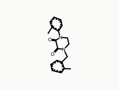 Cc1ccccc1CN1CCN(c2ccccc2C)C(=O)C1=O